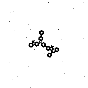 CC1(C)c2ccccc2-c2ccc(N(c3ccc(-c4ccccc4)cc3)c3ccc(-c4ccc5c(c4)C(C)(C)c4c-5c(-c5ccccc5)cc5ccccc45)cc3)cc21